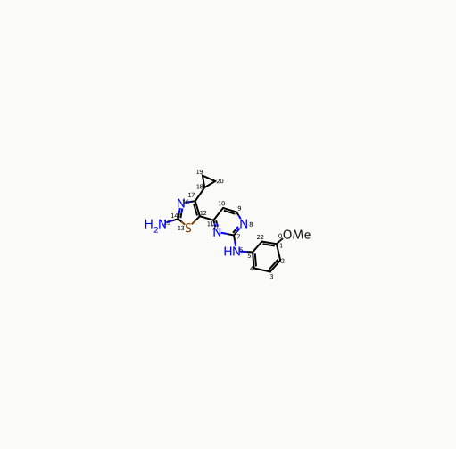 COc1cccc(Nc2nccc(-c3sc(N)nc3C3CC3)n2)c1